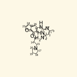 CC1=CC(C)(N)NC(Nc2cc(OCCCN3CCCC3)c3occc3c2)=N1